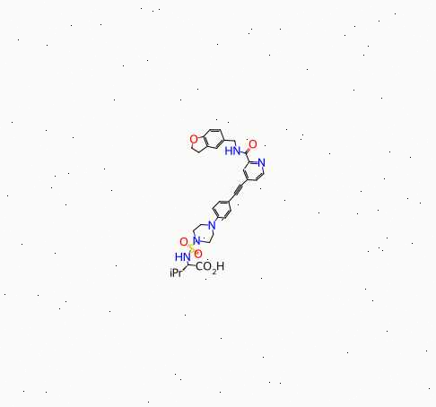 CC(C)[C@@H](NS(=O)(=O)N1CCN(c2ccc(C#Cc3ccnc(C(=O)NCc4ccc5c(c4)CCO5)c3)cc2)CC1)C(=O)O